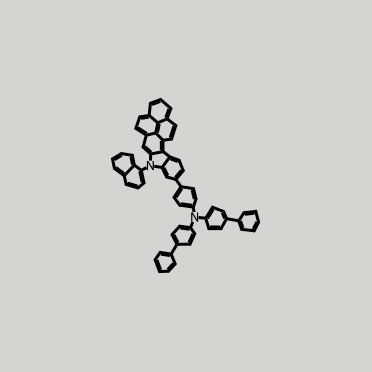 c1ccc(-c2ccc(N(c3ccc(-c4ccccc4)cc3)c3ccc(-c4ccc5c6c7ccc8cccc9ccc(cc6n(-c6cccc%10ccccc6%10)c5c4)c7c98)cc3)cc2)cc1